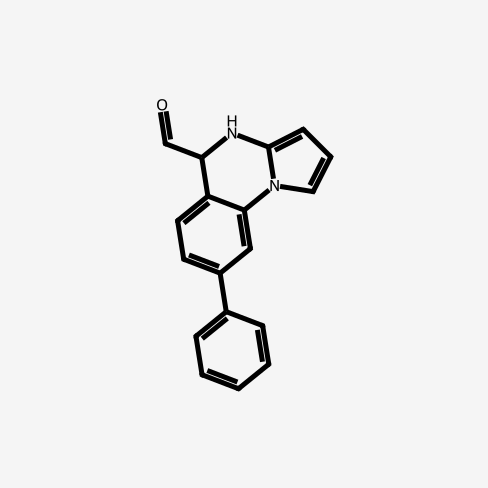 O=CC1Nc2cccn2-c2cc(-c3ccccc3)ccc21